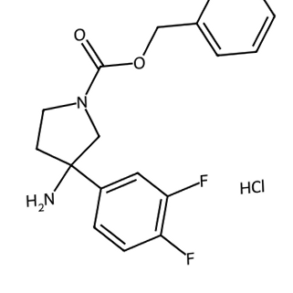 Cl.NC1(c2ccc(F)c(F)c2)CCN(C(=O)OCc2ccccc2)C1